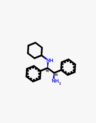 N[C@H](c1ccccc1)[C@H](NC1CCCCC1)c1ccccc1